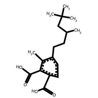 Cc1c(CCC(C)CC(C)(C)C)ccc(C(=O)O)c1C(=O)O